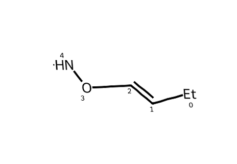 CC/C=C/O[NH]